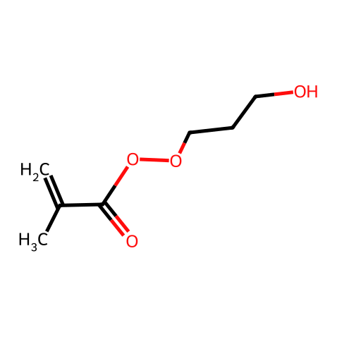 C=C(C)C(=O)OOCCCO